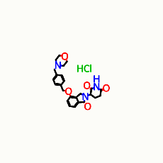 Cl.O=C1CCC(N2Cc3c(OCc4ccc(CN5CCOCC5)cc4)cccc3C2=O)C(=O)N1